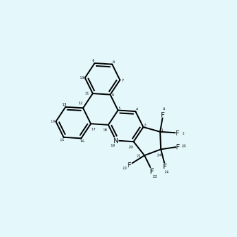 FC1(F)c2cc3c4ccccc4c4ccccc4c3nc2C(F)(F)C1(F)F